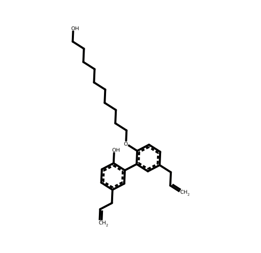 C=CCc1ccc(O)c(-c2cc(CC=C)ccc2OCCCCCCCCCCO)c1